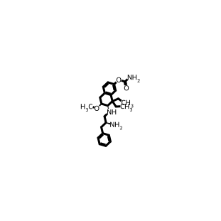 CCC1(CC)c2cc(OC(N)=O)ccc2C[C@H](OC)[C@H]1NC[C@@H](N)Cc1ccccc1